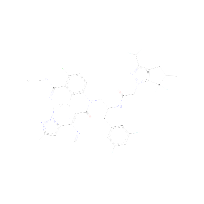 C=N/C(=C\C(=O)N(CC(Cc1cc(F)cc(F)c1)NC(=O)Cn1nc(C(F)F)c2c1C(F)(F)C(C)C2)c1ccc(Cl)c(C(=N)NSC)c1NC)c1cc(C(F)(F)F)nn1C